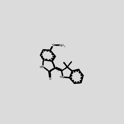 CC1(C)/C(=C2/C(=O)Nc3ccc(SN)cc32)Nc2ccccc21